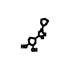 Oc1ccc(-c2cn(-c3ccccc3)nn2)cc1O